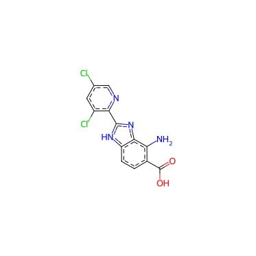 Nc1c(C(=O)O)ccc2[nH]c(-c3ncc(Cl)cc3Cl)nc12